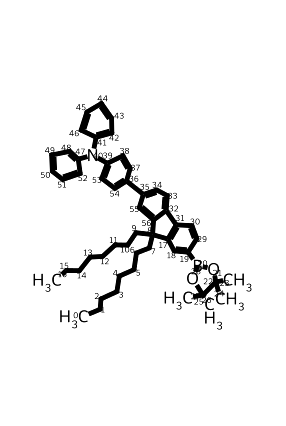 CCCCCCCCC1(CCCCCCCC)c2cc(B3OC(C)(C)C(C)(C)O3)ccc2-c2ccc(-c3ccc(N(c4ccccc4)c4ccccc4)cc3)cc21